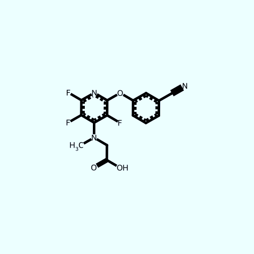 CN(CC(=O)O)c1c(F)c(F)nc(Oc2cccc(C#N)c2)c1F